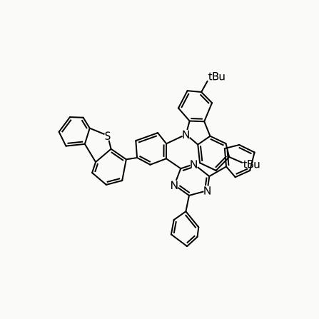 CC(C)(C)c1ccc2c(c1)c1cc(C(C)(C)C)ccc1n2-c1ccc(-c2cccc3c2sc2ccccc23)cc1-c1nc(-c2ccccc2)nc(-c2ccccc2)n1